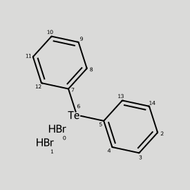 Br.Br.c1ccc([Te]c2ccccc2)cc1